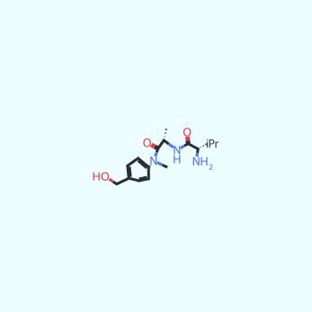 CC(C)[C@H](N)C(=O)N[C@@H](C)C(=O)N(C)c1ccc(CO)cc1